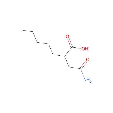 CCCCCC(CC(N)=O)C(=O)O